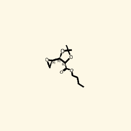 CCCCOC(=O)[C@@H]1OC(C)(C)O[C@@H]1[C@H]1CO1